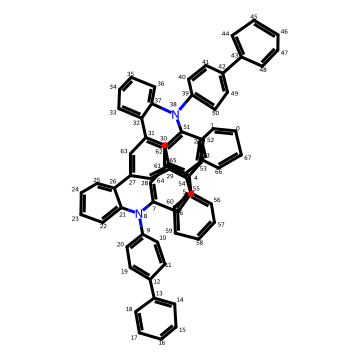 c1ccc(-c2ccc(N(c3ccc(-c4ccccc4)cc3)c3ccccc3-c3cccc(-c4ccccc4N(c4ccc(-c5ccccc5)cc4)c4ccc(-c5ccccc5)cc4)c3)cc2)cc1